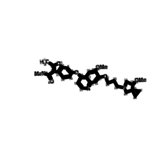 CNC(=O)c1c(C)oc2cc(Oc3ccnc4cc(OCCCN5CC(OC)C6(CC6)C5)c(OC)cc34)ccc12